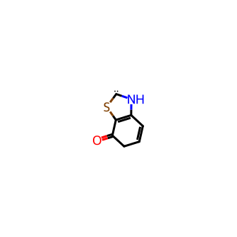 O=C1CC=CC2=C1S[C]N2